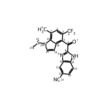 Cc1cc(C(F)(F)F)c(C(=O)c2nc3cc(C#N)ccc3[nH]2)c2ccn(SI)c12